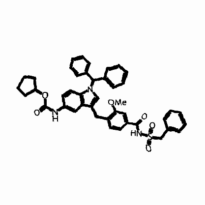 COc1cc(C(=O)NS(=O)(=O)Cc2ccccc2)ccc1Cc1cn(C(c2ccccc2)c2ccccc2)c2ccc(NC(=O)OC3CCCC3)cc12